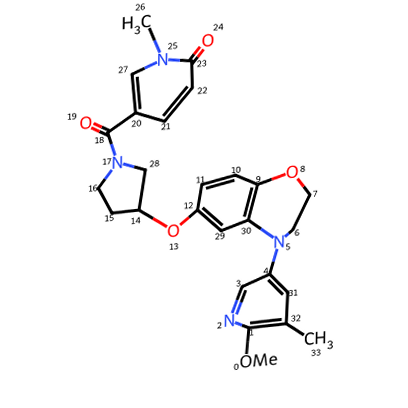 COc1ncc(N2CCOc3ccc(OC4CCN(C(=O)c5ccc(=O)n(C)c5)C4)cc32)cc1C